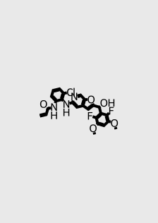 C=CC(=O)Nc1cccc(Cl)c1Nc1cc2cc(C(O)c3c(F)c(OC)cc(OC)c3F)oc2cn1